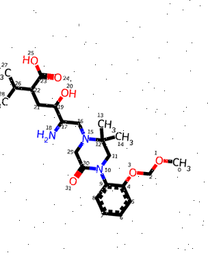 COCOc1ccccc1N1CC(C)(C)N(CC(N)C(O)CC(C(=O)O)C(C)C)CC1=O